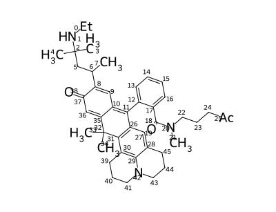 CCNC(C)(C)CC(C)C1=CC2=C(c3ccccc3C(=O)N(C)CCCC(C)=O)c3cc4c5c(c3C(C)(C)C2=CC1=O)CCCN5CCC4